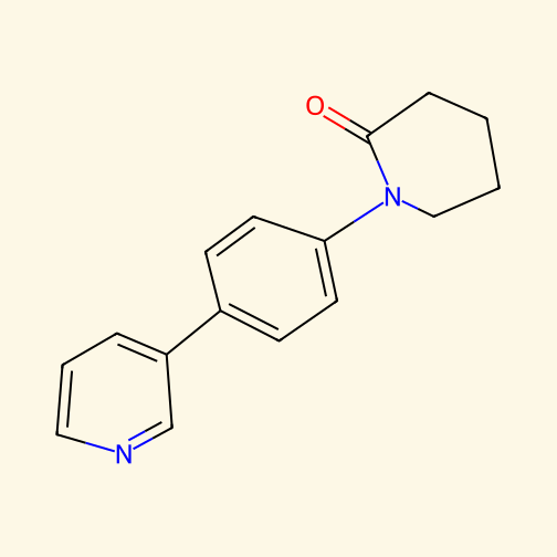 O=C1CCCCN1c1ccc(-c2cccnc2)cc1